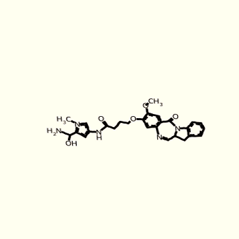 COc1cc2c(cc1OCCCC(=O)Nc1cc(C(N)O)n(C)c1)N=CC1Cc3ccccc3N1C2=O